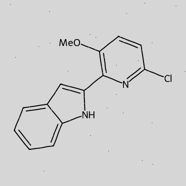 COc1ccc(Cl)nc1-c1cc2ccccc2[nH]1